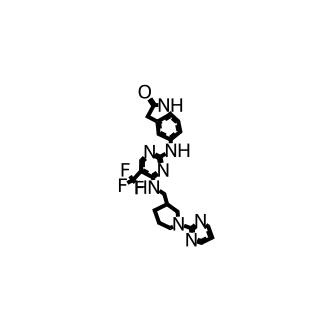 O=C1Cc2cc(Nc3ncc(C(F)(F)F)c(NCC4CCCN(c5ncccn5)C4)n3)ccc2N1